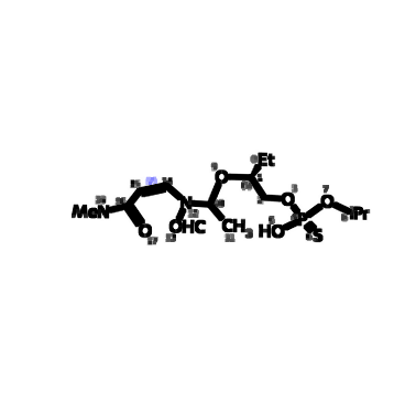 CC[C@@H](COP(O)(=S)OC(C)C)OC(C)N(C=O)/C=C\C(=O)NC